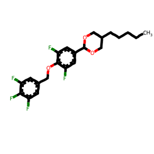 CCCCCC1COC(c2cc(F)c(OCc3cc(F)c(F)c(F)c3)c(F)c2)OC1